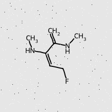 C=C(NC)/C(=C\CF)NC